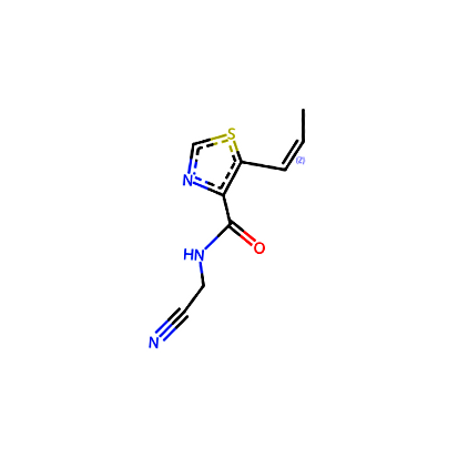 C/C=C\c1scnc1C(=O)NCC#N